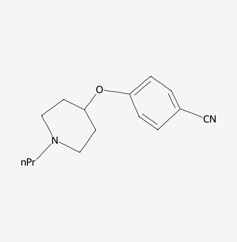 CCCN1CCC(Oc2ccc(C#N)cc2)CC1